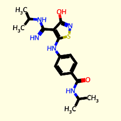 CC(C)NC(=N)c1c(O)nsc1Nc1ccc(C(=O)NC(C)C)cc1